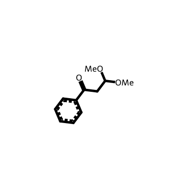 COC(CC(=O)c1ccccc1)OC